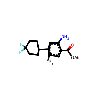 COC(=O)c1cc(C(F)(F)F)c(C2CCC(F)(F)CC2)cc1N